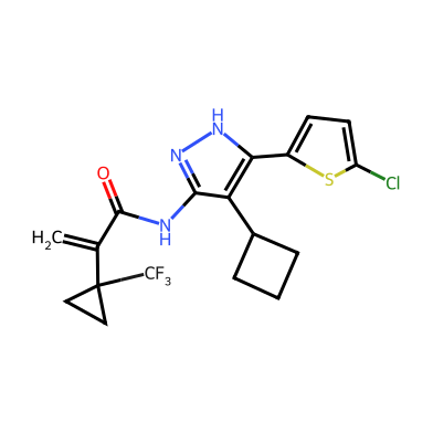 C=C(C(=O)Nc1n[nH]c(-c2ccc(Cl)s2)c1C1CCC1)C1(C(F)(F)F)CC1